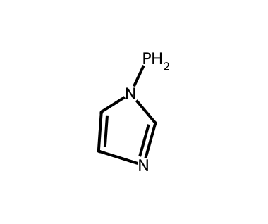 Pn1ccnc1